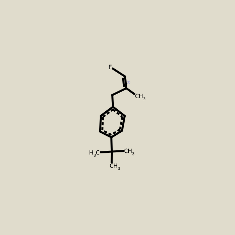 C/C(=C/F)Cc1ccc(C(C)(C)C)cc1